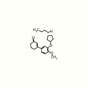 COc1ccc(C2=CC(=O)CCC2)cc1OC1CCCC1.[Li][CH2]CCC